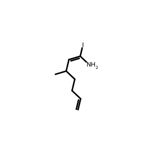 C=CCCC(C)/C=C(\N)I